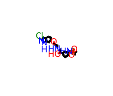 CC(C)S(=O)(=O)Nc1cccc(C(O)CNCCOc2ccc3c(Cl)n[nH]c3c2)c1